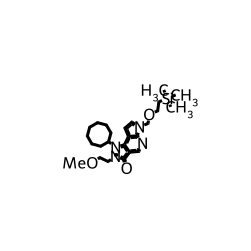 COCCn1c(=O)c2cnc3c(ccn3COCC[Si](C)(C)C)c2n1C1CCCCCCC1